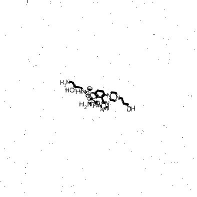 NCC(O)CNS(=O)(=O)c1ccc(N2CCN(CCCO)CC2)c(-c2nnn[nH]2)c1S(N)(=O)=O